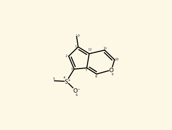 [CH2]c1cc([S+](C)[O-])c2coccc1-2